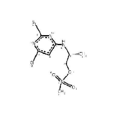 C[C@H](COS(C)(=O)=O)Nc1cc(Cl)nc(Cl)n1